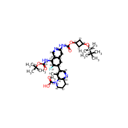 Cc1c(-c2cc3cc(NC(=O)OC4CC(O[Si](C)(C)C(C)(C)C)C4)ncc3c(NC(=O)OC(C)(C)C)c2F)cnc2c1N(C(=O)O)CCC2